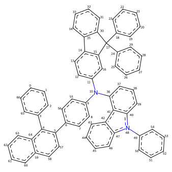 c1ccc(-c2c(-c3ccc(N(c4ccc5c(c4)C(c4ccccc4)(c4ccccc4)c4ccccc4-5)c4cccc5c4c4ccccc4n5-c4ccccc4)cc3)ccc3ccccc23)cc1